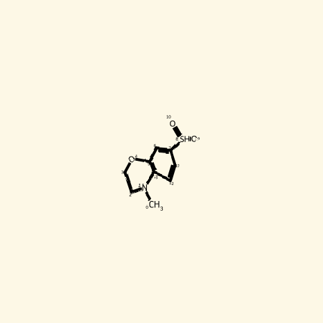 CN1CCOc2cc([SH](=O)=O)ccc21